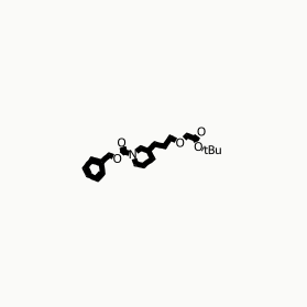 CC(C)(C)OC(=O)COCCCC1CCCN(C(=O)OCc2ccccc2)C1